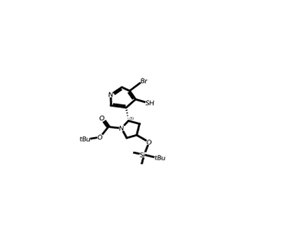 CC(C)(C)OC(=O)N1CC(O[Si](C)(C)C(C)(C)C)C[C@H]1c1cncc(Br)c1S